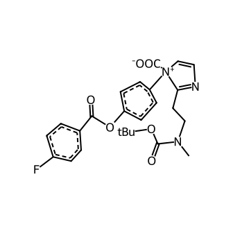 CN(CCC1=NC=C[N+]1(C(=O)[O-])c1ccc(OC(=O)c2ccc(F)cc2)cc1)C(=O)OC(C)(C)C